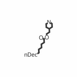 CCCCCCCCCCCCCCCC(=O)OCCC1CC[N]CC1